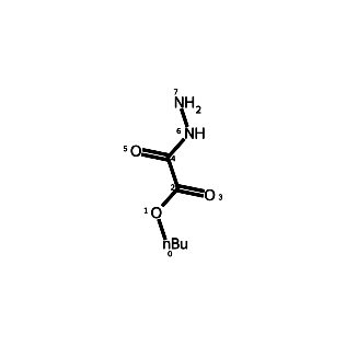 CCCCOC(=O)C(=O)NN